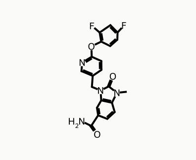 Cn1c(=O)n(Cc2ccc(Oc3ccc(F)cc3F)nc2)c2cc(C(N)=O)ccc21